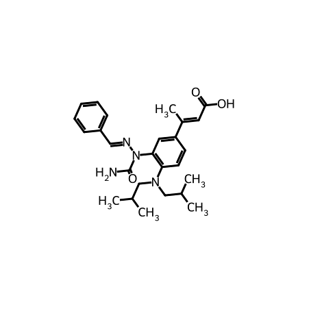 C/C(=C\C(=O)O)c1ccc(N(CC(C)C)CC(C)C)c(N(/N=C/c2ccccc2)C(N)=O)c1